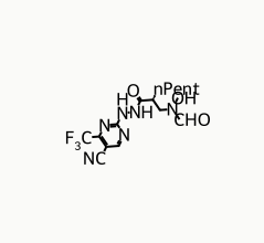 CCCCC[C@@H](CN(O)C=O)C(=O)NNc1ncc(C#N)c(C(F)(F)F)n1